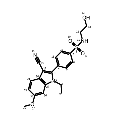 CCn1c(-c2ccc(S(=O)(=O)NCCO)cc2)c(C#N)c2ccc(OC)cc21